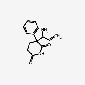 C=CC(N)C1(c2ccccc2)CCC(=O)NC1=O